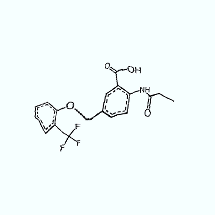 CCC(=O)Nc1ccc(COc2ccccc2C(F)(F)F)cc1C(=O)O